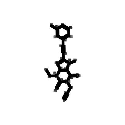 C#CCn1c(=O)c2c(nc(C#Cc3cccc(C)c3)n2C)n(CC)c1=O